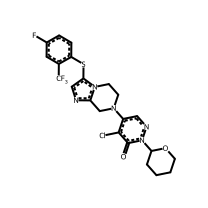 O=c1c(Cl)c(N2CCn3c(Sc4ccc(F)cc4C(F)(F)F)cnc3C2)cnn1C1CCCCO1